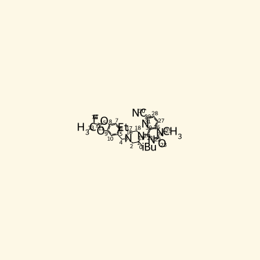 CCC(C)C1CN(Cc2ccc3c(c2)OC(C)(F)O3)[C@H](CC)CN1c1nc(=O)n(C)c2ccc(C#N)nc12